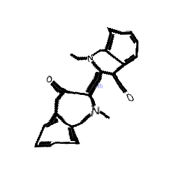 CN1/C(=C2\C(=O)c3ccccc3N2C)C(=O)c2ccccc21